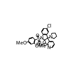 COc1ccc(S(=O)(=O)N2C(=O)C(c3cccnc3OC)(N3CCCC3)c3cc(Cl)ccc32)c(OC)c1